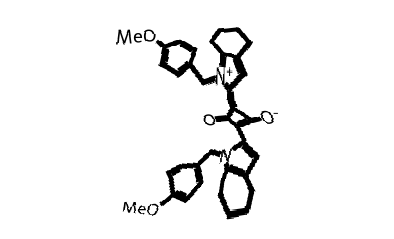 COc1ccc(Cn2c(C3=C([O-])/C(=C4\C=C5CCCCC5=[N+]4Cc4ccc(OC)cc4)C3=O)cc3c2CCCC3)cc1